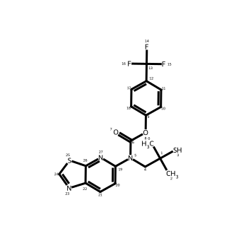 CC(C)(S)CN(C(=O)Oc1ccc(C(F)(F)F)cc1)c1ccc2ncsc2n1